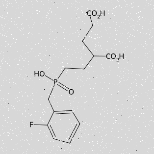 O=C(O)CCC(CCP(=O)(O)Cc1ccccc1F)C(=O)O